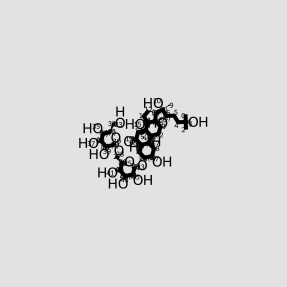 CC(C)(O)CC[C@@H](O)[C@](C)(O)[C@H]1CC[C@@]2(O)C3=CC(=O)[C@@H]4C[C@@H](O[C@H]5O[C@H](CO[C@H]6O[C@H](CO)[C@H](O)[C@H](O)[C@H]6O)[C@H](O)[C@H](O)[C@H]5O)[C@@H](O)C[C@]4(C)[C@H]3CC[C@]12C